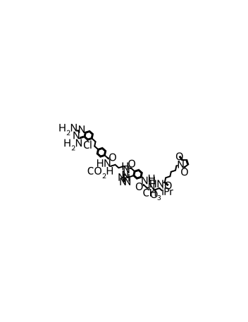 CC(NC(=O)C(NC(=O)CCCCCN1C(=O)C=CC1=O)C(C)C)C(=O)Nc1ccc(C(=O)NCCCC(NC(=O)c2ccc(CCc3ccc4nc(N)nc(N)c4c3Cl)cc2)C(=O)O)c(-c2nnn[nH]2)c1